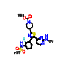 CCCS(=O)(=O)Nc1cccc(-c2nc(C3CCN(C(=O)OC(C)(C)C)CC3)sc2-c2ccnc(NC(C)C)n2)c1F